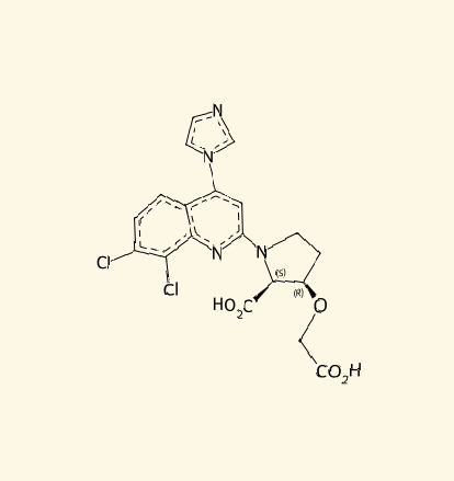 O=C(O)CO[C@@H]1CCN(c2cc(-n3ccnc3)c3ccc(Cl)c(Cl)c3n2)[C@@H]1C(=O)O